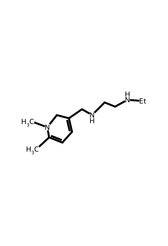 CCNCCNCC1=CC=C(C)N(C)C1